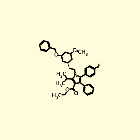 CCOC(=O)c1c(-c2ccccc2)c(-c2ccc(F)cc2)n(CC[C@H]2CC(OC)C[C@H](OCc3ccccc3)C2)c1C(C)C